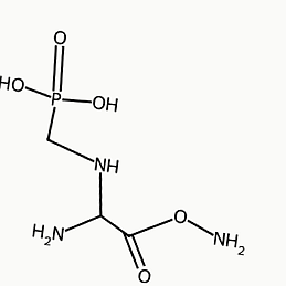 NOC(=O)C(N)NCP(=O)(O)O